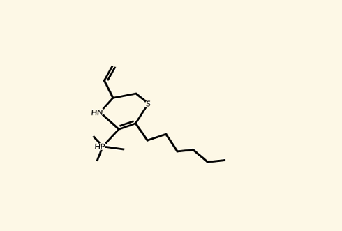 C=CC1CSC(CCCCCC)=C([PH](C)(C)C)N1